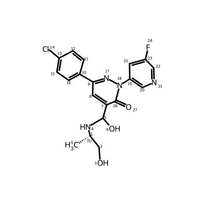 C[C@@H](CO)NC(O)c1cc(-c2ccc(Cl)cc2)nn(-c2cncc(F)c2)c1=O